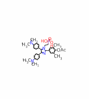 CC(=O)Oc1c(C)cc(-c2nc(-c3ccc(N(C)C)cc3)c(-c3ccc(N(C)C)cc3)n2CCP(=O)(O)O)cc1C